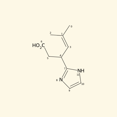 CC(C)=CC(CC(=O)O)c1ncc[nH]1